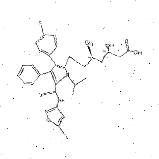 Cc1cc(NC(=O)c2c(-c3ccccc3)c(-c3ccc(F)cc3)c(CC[C@@H](O)C[C@@H](O)CC(=O)O)n2C(C)C)no1